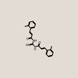 Cc1ccccc1/C=C/C(=O)NC(=N)NC(=O)/C=C/c1ccccc1C